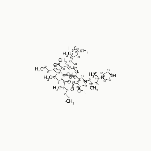 CCCCC(C)C(CCC(C)CC(C)CCC)OC(=O)C[C@H](C)CN(CCC(=O)OC(CCC(C)CC(C)C)CCC(CC)CCC)CC(C)CC(C)N1CCNCC1